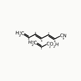 C=CC(=O)O.C=CC=CC=CC#N